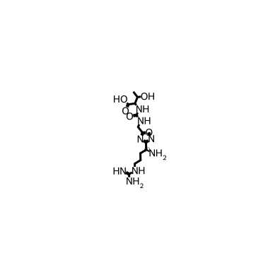 CC(O)C(NC(=O)NCc1nc([C@@H](N)CCCNC(=N)N)no1)C(=O)O